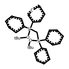 CC(C)(C)O[Si](C[Si](OC(C)(C)C)(c1ccccc1)c1ccccc1)(c1ccccc1)c1ccccc1